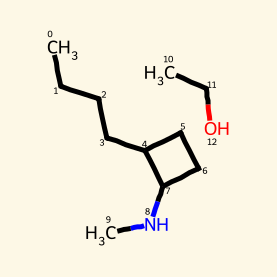 CCCCC1CCC1NC.CCO